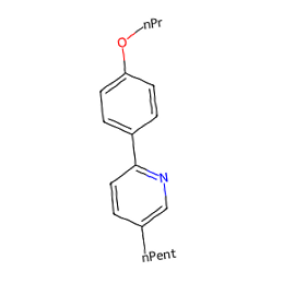 CCCCCc1ccc(-c2ccc(OCCC)cc2)nc1